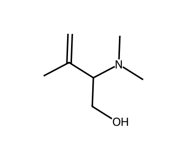 C=C(C)C(CO)N(C)C